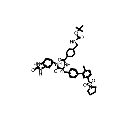 Cc1ccc(S(=O)(=O)N2CCCC2)cc1-c1ccc(C[C@H](NC(=O)C2CCC(CNC(=O)OC(C)(C)C)CC2)C(=O)Nc2ccc3[nH]c(=O)[nH]c3c2)cc1